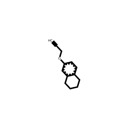 C#CCOc1ccc2c(c1)CCCC2